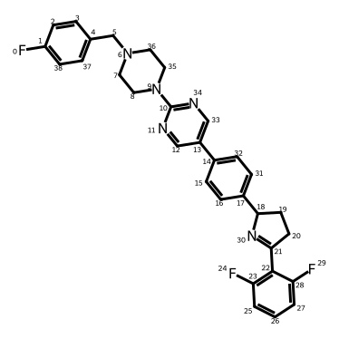 Fc1ccc(CN2CCN(c3ncc(-c4ccc(C5CCC(c6c(F)cccc6F)=N5)cc4)cn3)CC2)cc1